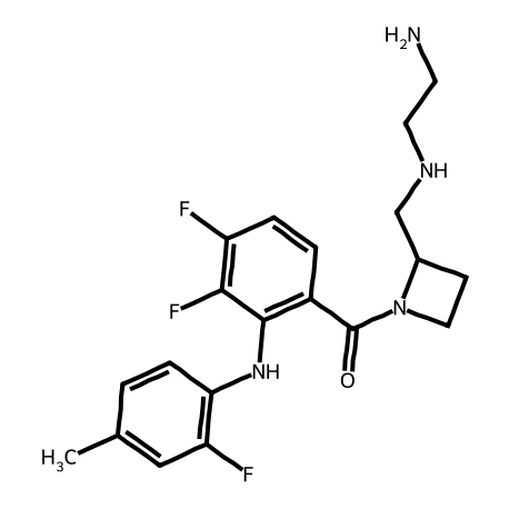 Cc1ccc(Nc2c(C(=O)N3CCC3CNCCN)ccc(F)c2F)c(F)c1